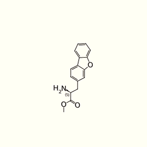 COC(=O)[C@@H](N)Cc1ccc2c(c1)oc1ccccc12